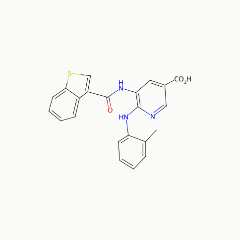 Cc1ccccc1Nc1ncc(C(=O)O)cc1NC(=O)c1csc2ccccc12